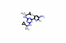 C[C@@H](Nc1nc(N[C@H](C)C2CC2)nc(-c2nc(Cl)c(N)cc2F)n1)C1CC1